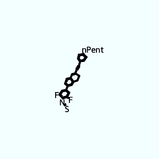 CCCCCc1ccc(C#CC2=Cc3ccc(-c4cc(F)c(N=C=S)c(F)c4)cc3CC2)cc1